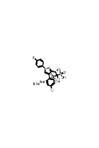 O=P(O)(O)C(O)(Cc1nn(-c2ccc(F)cc2)cc1-c1ccc(Cl)cc1)P(=O)(O)O.[NaH].[NaH]